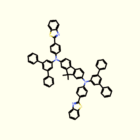 CC1(C)c2cc(N(c3ccc(-c4nc5ccccc5s4)cc3)c3cc(-c4ccccc4)cc(-c4ccccc4)c3)ccc2-c2ccc(N(c3ccc(-c4nc5ccccc5s4)cc3)c3cc(-c4ccccc4)cc(-c4ccccc4)c3)cc21